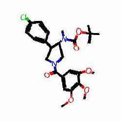 COc1cc(C(=O)N2CC(c3ccc(Cl)cc3)C(N(C)C(=O)OC(C)(C)C)C2)cc(OC)c1OC